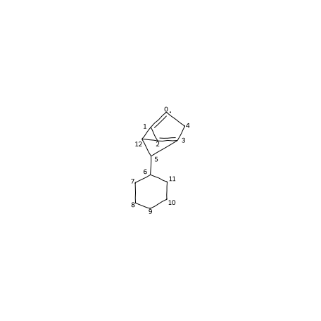 [C]1=C2C3=C(C1)C(C1CCCCC1)C23